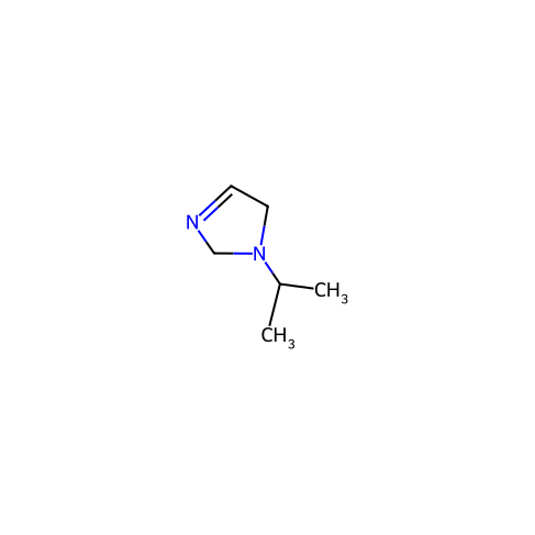 CC(C)N1CC=NC1